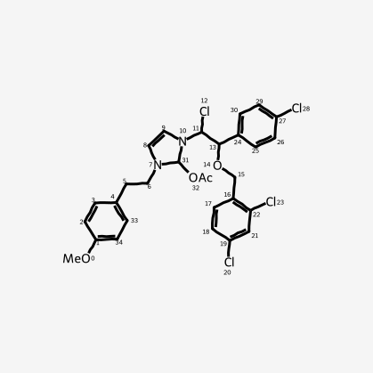 COc1ccc(CCN2C=CN(C(Cl)C(OCc3ccc(Cl)cc3Cl)c3ccc(Cl)cc3)C2OC(C)=O)cc1